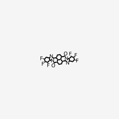 O=c1c2ccc3c4c(ccc(c24)c2nc4cc(F)c(F)c(F)c4n12)c(=O)n1c3nc2cc(F)c(F)c(F)c21